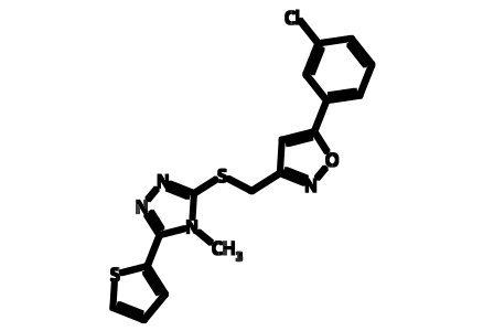 Cn1c(SCc2cc(-c3cccc(Cl)c3)on2)nnc1-c1cccs1